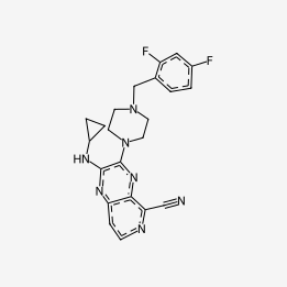 N#Cc1nccc2nc(NC3CC3)c(N3CCN(Cc4ccc(F)cc4F)CC3)nc12